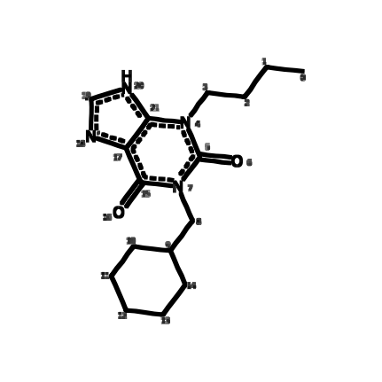 CCCCn1c(=O)n(CC2CCCCC2)c(=O)c2n[c][nH]c21